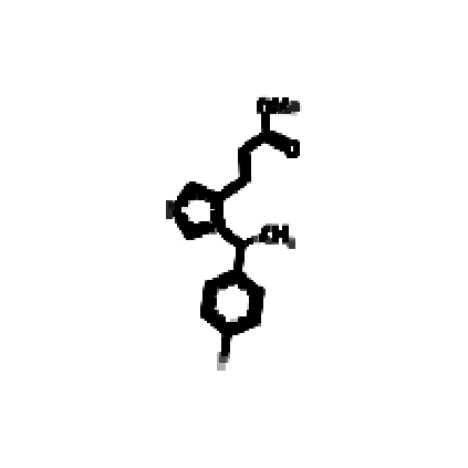 COC(=O)/C=C/c1cncn1[C@H](C)c1ccc(F)cc1